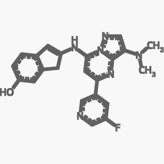 CN(C)c1cnn2c(NC3=Cc4ccc(O)cc4C3)cc(-c3cncc(F)c3)nc12